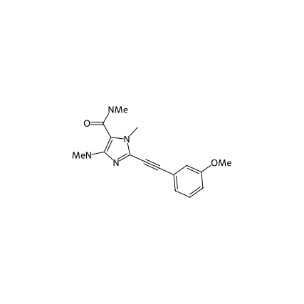 CNC(=O)c1c(NC)nc(C#Cc2cccc(OC)c2)n1C